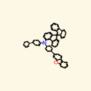 c1ccc(-c2ccc(N(c3ccc(-c4ccc5c(c4)oc4ccccc45)cc3)c3cccc4c3-c3ccccc3C43c4ccccc4-c4ccccc43)cc2)cc1